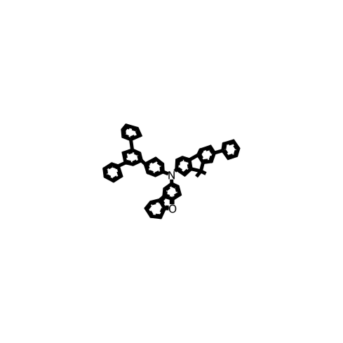 CC1(C)c2cc(-c3ccccc3)ccc2-c2ccc(N(c3ccc(-c4cc(-c5ccccc5)cc(-c5ccccc5)c4)cc3)c3ccc4oc5ccccc5c4c3)cc21